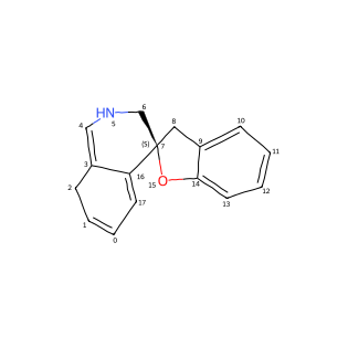 C1=CCC2=CNC[C@]3(Cc4ccccc4O3)C2=C1